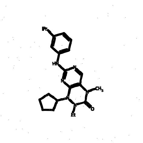 CCN1C(=O)N(C)c2cnc(Nc3cccc(C(C)C)c3)nc2N1C1CCCC1